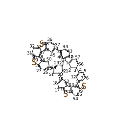 c1ccc(-c2ccc3sc4c(c3c2)-c2c(sc3ccc(-c5cccc(-c6ccc7sc8ccc9sc%10ccc(-c%11ccccc%11)cc%10c9c8c7c6)c5)cc23)CC4)cc1